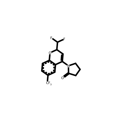 O=C1CCCN1C1=CC(C(F)F)Oc2ccc(C(F)(F)F)cc21